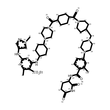 CCOC(=O)c1c(C)nc(Nc2cnn(C)c2)nc1NC1CCC(N2CCN(C(=O)C3CCC(C(=O)N4CCC(CN5CCN(c6ccc(C(=O)NC7CCC(=O)NC7=O)c(F)c6)CC5)CC4)CC3)CC2)CC1